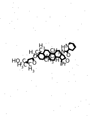 CC(C)C1C(=O)C[C@]2(NC(=O)C3CC=CC=N3)CC[C@]3(C)[C@H](CCC4C3(C)CCC3C(C)(C)[C@@H](OC(=O)CC(C)(C)C(=O)O)CC[C@@]34C)C12